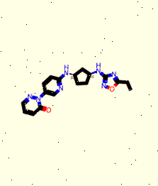 CCc1nc(N[C@H]2CC[C@H](Nc3ccc(-n4ncccc4=O)cn3)C2)no1